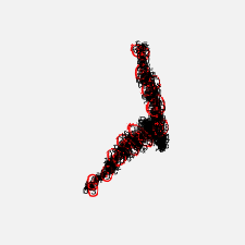 C=CC(=O)OCCCCOc1ccc(C(=O)Oc2ccc(C(=O)Oc3ccc(C(=O)Oc4cc(-c5c(OC(=O)c6ccc(OC(=O)c7ccc(OC(=O)c8ccc(OCCCCOC(=O)C=C)cc8)cc7)cc6)ccc6ccccc56)c5ccccc5c4)cc3)cc2)cc1